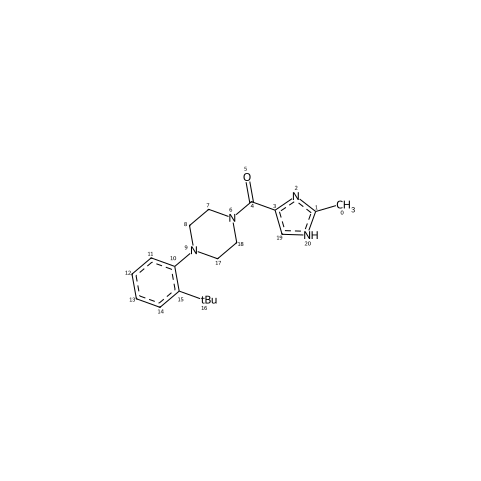 Cc1nc(C(=O)N2CCN(c3ccccc3C(C)(C)C)CC2)c[nH]1